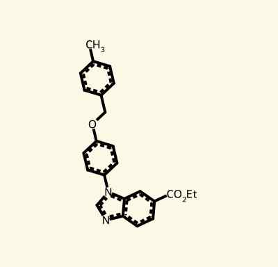 CCOC(=O)c1ccc2ncn(-c3ccc(OCc4ccc(C)cc4)cc3)c2c1